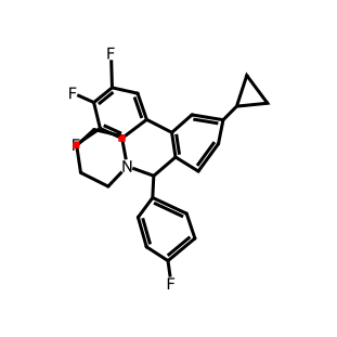 Fc1ccc(C(c2ccc(C3CC3)cc2-c2cc(F)c(F)c(F)c2)N2CCCCC2)cc1